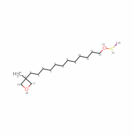 CC1(CCCCCCCCCCCCOSI)COC1